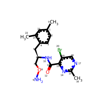 Cc1ccc(C[C@H](CON)NC(=O)c2nc(C)ncc2Br)c(C)c1